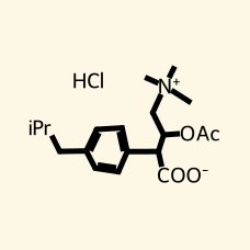 CC(=O)OC(C[N+](C)(C)C)C(C(=O)[O-])c1ccc(CC(C)C)cc1.Cl